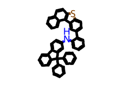 c1ccc(C2(c3ccccc3)c3ccccc3-c3ccc(Nc4ccccc4-c4ccc5sc6ccc7ccccc7c6c5c4)cc32)cc1